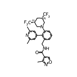 Cc1cc(-c2c(CNC(=O)c3conc3C)cccc2N2C[C@H](C(F)(F)F)C[C@H](C(F)(F)F)C2)cc(C)n1